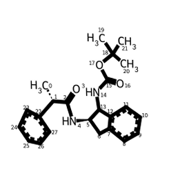 C[C@H](C(=O)N[C@@H]1Cc2ccccc2C1NC(=O)OC(C)(C)C)c1ccccc1